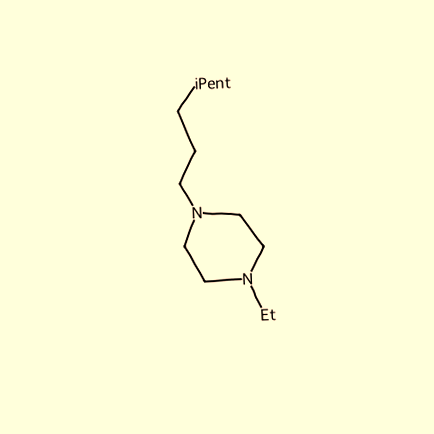 CCCC(C)CCCN1CCN(CC)CC1